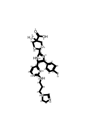 CC1(C(=O)O)COC(c2nc(-c3ccc(F)cc3)c(-c3ccnc(NCCCN4C=NCC4)n3)[nH]2)OC1